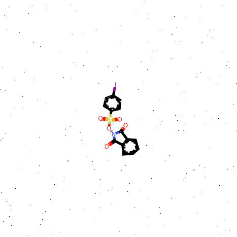 O=C1c2ccccc2C(=O)N1OS(=O)(=O)c1ccc(I)cc1